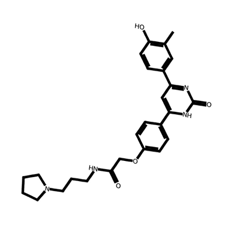 Cc1cc(-c2cc(-c3ccc(OCC(=O)NCCCN4CCCC4)cc3)[nH]c(=O)n2)ccc1O